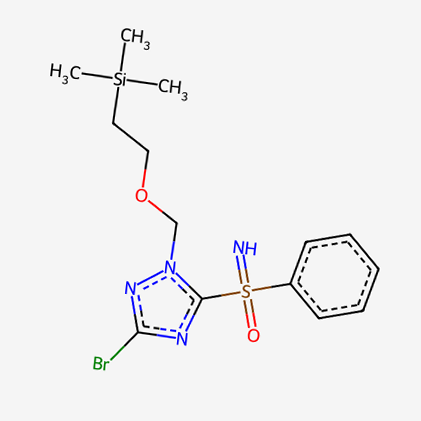 C[Si](C)(C)CCOCn1nc(Br)nc1S(=N)(=O)c1ccccc1